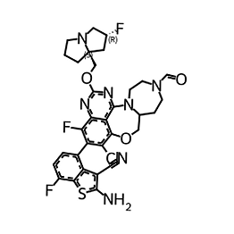 N#Cc1c(N)sc2c(F)ccc(-c3c(Cl)c4c5c(nc(OC[C@@]67CCCN6C[C@H](F)C7)nc5c3F)N3CCN(C=O)CCC3CO4)c12